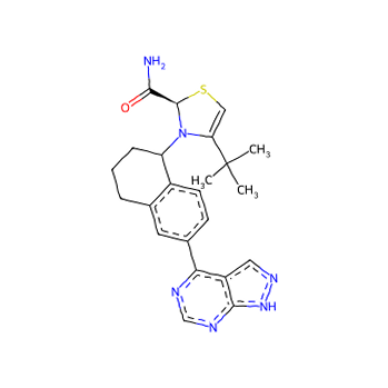 CC(C)(C)C1=CS[C@H](C(N)=O)N1C1CCCc2cc(-c3ncnc4[nH]ncc34)ccc21